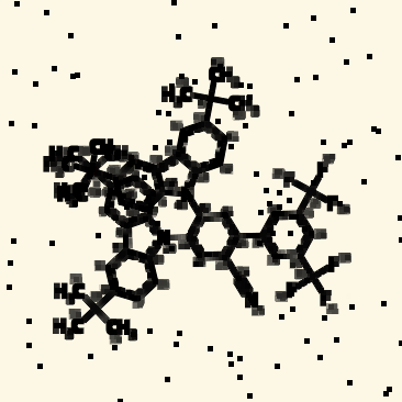 CC(C)(C)c1ccc2c(c1)c1cc(C(C)(C)C)ccc1n2-c1cc(C#N)c(-c2cc(C(F)(F)F)cc(C(F)(F)F)c2)cc1-n1c2ccc(C(C)(C)C)cc2c2cc(C(C)(C)C)ccc21